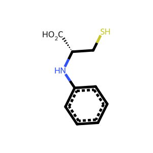 O=C(O)[C@H](CS)Nc1ccccc1